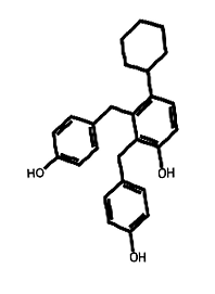 Oc1ccc(Cc2c(O)ccc(C3CCCCC3)c2Cc2ccc(O)cc2)cc1